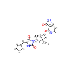 C[C@@H](C[C@]1(C)C[C@@H](Oc2ncccc2C(N)=O)C1)N1C(=O)NC(CC2CCCC2)C1=O